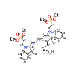 CCOP(=O)(CCN1/C(=C/C=C/C=C/C2=[N+](CCP(=O)(OCC)OCC)c3ccccc3C2(C)C)C(C)(CCCC(=O)O)c2ccccc21)OCC